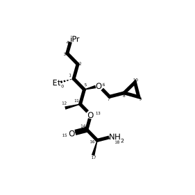 CC[C@H](CCC(C)C)[C@@H](OCC1CC1)[C@H](C)OC(=O)[C@H](C)N